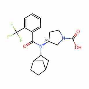 O=C(O)N1CC[C@H](N(C(=O)c2ccccc2C(F)(F)F)C2CC3CCC2C3)C1